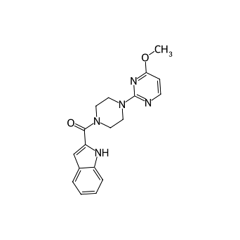 COc1ccnc(N2CCN(C(=O)c3cc4ccccc4[nH]3)CC2)n1